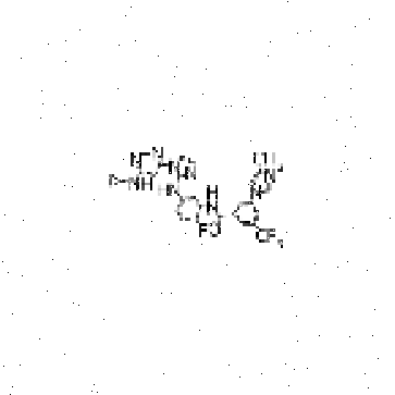 Cc1cn(-c2cc(C(=O)Nc3cc(Nc4nccn4-c4cc(NC5CC5)ncn4)ccc3F)cc(C(F)(F)F)c2)cn1